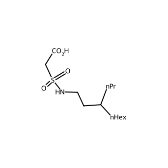 CCCCCCC(CCC)CCNS(=O)(=O)CC(=O)O